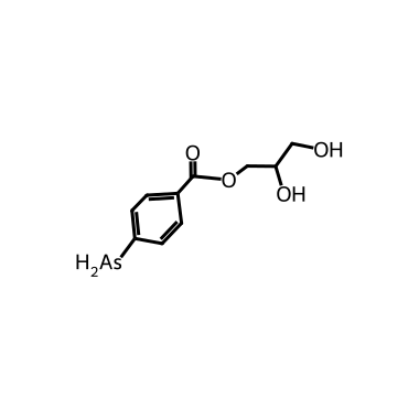 O=C(OCC(O)CO)c1ccc([AsH2])cc1